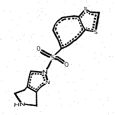 O=S(=O)(c1ccc2ncsc2c1)n1cc2c(n1)CNC2